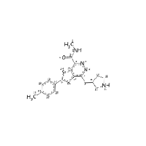 CNC(=O)c1nnc(CC2CCNC2)c2cc(-c3ccc(C)cc3)sc12